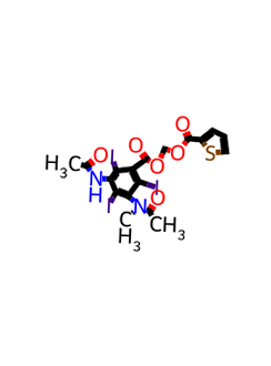 CC(=O)Nc1c(I)c(C(=O)OCOC(=O)c2cccs2)c(I)c(N(C)C(C)=O)c1I